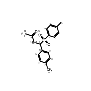 Cc1ccc(S(=O)(=O)C(NC(N)=O)c2ccc(C(F)(F)F)cc2)cc1